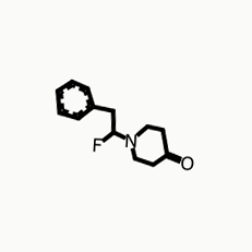 O=C1CCN(C(F)Cc2ccccc2)CC1